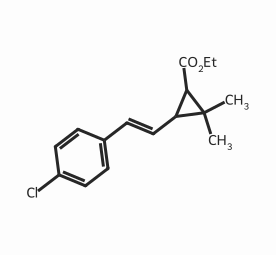 CCOC(=O)C1C(/C=C/c2ccc(Cl)cc2)C1(C)C